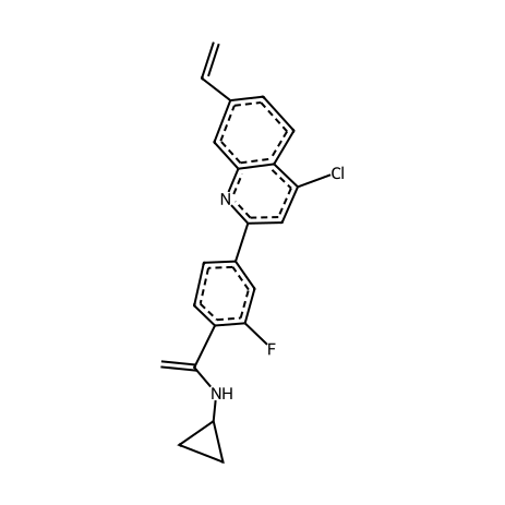 C=Cc1ccc2c(Cl)cc(-c3ccc(C(=C)NC4CC4)c(F)c3)nc2c1